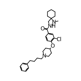 CN(C)C1(CNC(=O)c2ccc(OC3CCN(CCCCc4ccccc4)CC3)c(Cl)c2)CCCCC1